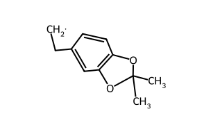 [CH2]Cc1ccc2c(c1)OC(C)(C)O2